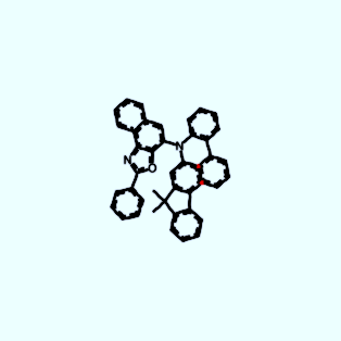 CC1(C)c2ccccc2-c2ccc(N(c3ccccc3-c3ccccc3)c3cc4ccccc4c4nc(-c5ccccc5)oc34)cc21